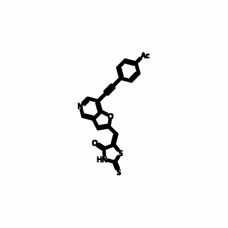 CC(=O)c1ccc(C#Cc2cncc3cc(C=C4SC(=S)NC4=O)oc23)cc1